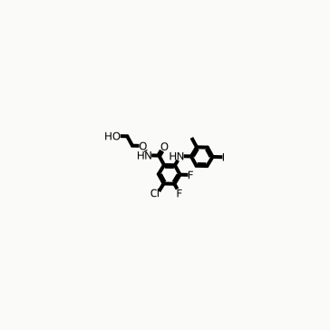 Cc1cc(I)ccc1Nc1c(C(=O)NOCCO)cc(Cl)c(F)c1F